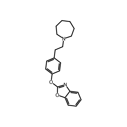 c1ccc2oc(Oc3ccc(CCN4CCCCCC4)cc3)nc2c1